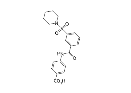 O=C(O)c1ccc(NC(=O)c2cccc(S(=O)(=O)N3CCCCC3)c2)cc1